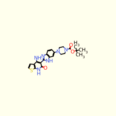 CC(C)(C)OC(=O)N1CCN(c2ccc3nc(-c4c(N)c5ccsc5[nH]c4=O)[nH]c3c2)CC1